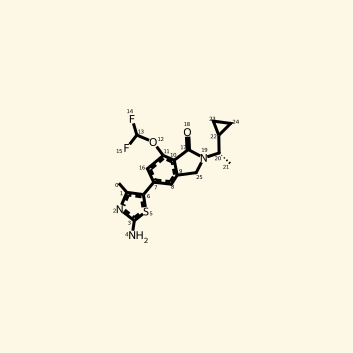 Cc1nc(N)sc1-c1cc2c(c(OC(F)F)c1)C(=O)N([C@@H](C)C1CC1)C2